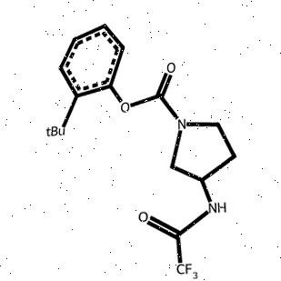 CC(C)(C)c1ccccc1OC(=O)N1CCC(NC(=O)C(F)(F)F)C1